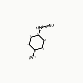 CCCCN[C@H]1CC[C@@H](C(C)C)CC1